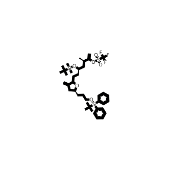 C=C1C[C@H](CCCO[Si](c2ccccc2)(c2ccccc2)C(C)(C)C)OC1CC[C@H](C[C@@H](C)C(=C)OS(=O)(=O)C(F)(F)F)O[Si](C)(C)C(C)(C)C